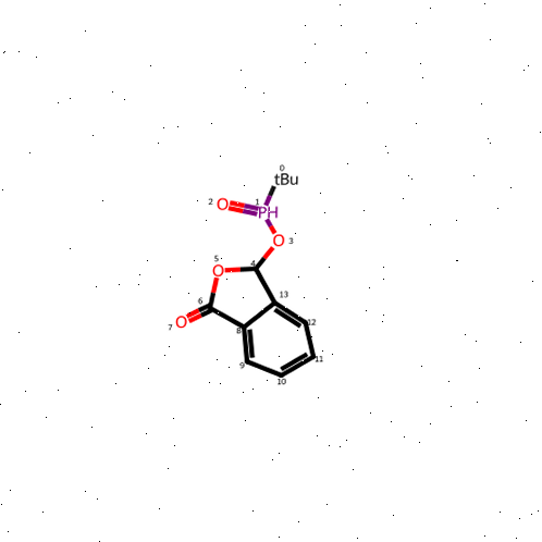 CC(C)(C)[PH](=O)OC1OC(=O)c2ccccc21